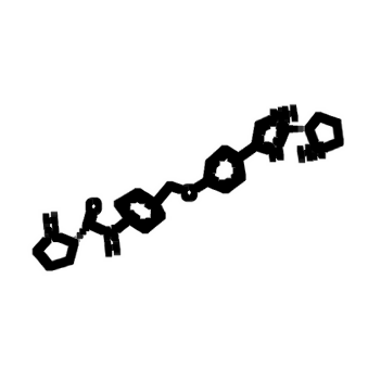 O=C(Nc1ccc(COc2ccc(-c3c[nH]c([C@@H]4CCCN4)n3)cc2)cc1)[C@@H]1CCCN1